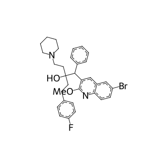 COc1nc2ccc(Br)cc2cc1C(c1ccccc1)C(O)(CCc1ccc(F)cc1)CCN1CCCCC1